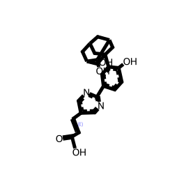 O=C(O)/C=C/c1cnc(-c2ccc(O)c(C34CC5CC(C3)C(O)(O)C(C5)C4)c2)nc1